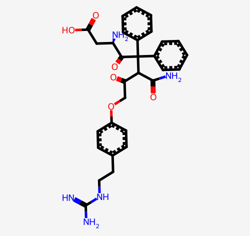 N=C(N)NCCc1ccc(OCC(=O)C(C(N)=O)C(C(=O)[C@H](N)CC(=O)O)(c2ccccc2)c2ccccc2)cc1